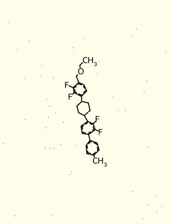 CCOCc1ccc(C2CCC(c3ccc(-c4ccc(C)cc4)c(F)c3F)CC2)c(F)c1F